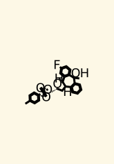 Cc1ccc(S(=O)(=O)OC[C@H]2C[C@@H]3c4ccccc4C(C)(O)c4ccc(F)cc4[C@H]3O2)cc1